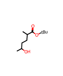 CC(O)CCC(C)C(=O)OC(C)(C)C